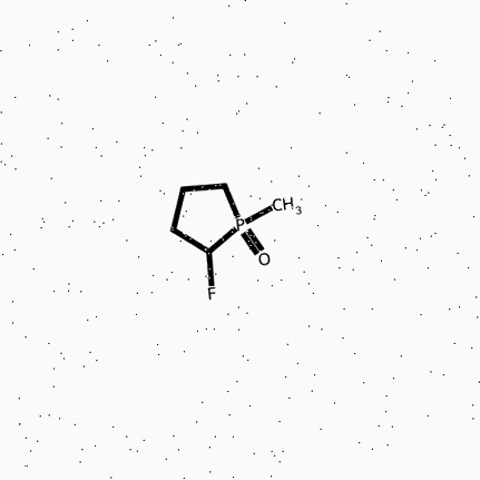 CP1(=O)CCCC1F